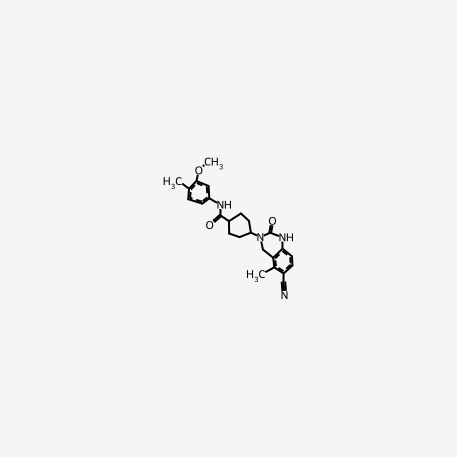 COc1cc(NC(=O)C2CCC(N3Cc4c(ccc(C#N)c4C)NC3=O)CC2)ccc1C